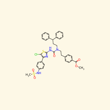 COC(=O)c1ccc(CCN(CCC(c2ccccc2)c2ccccc2)C(=O)Nc2nc(-c3ccc(NS(C)(=O)=O)cc3)c(Cl)s2)cc1